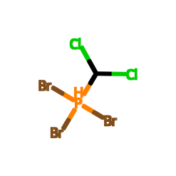 ClC(Cl)[PH](Br)(Br)Br